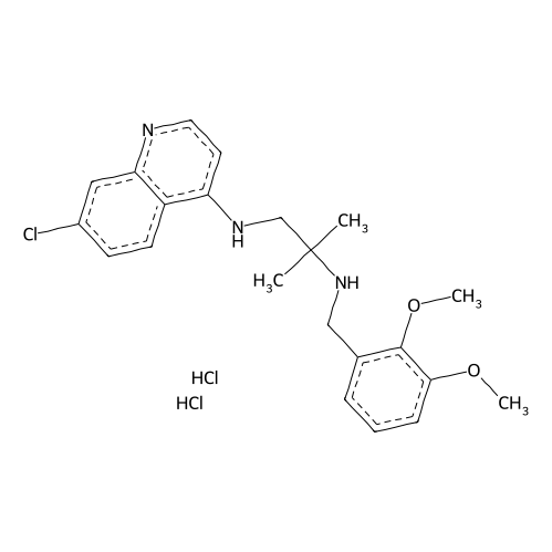 COc1cccc(CNC(C)(C)CNc2ccnc3cc(Cl)ccc23)c1OC.Cl.Cl